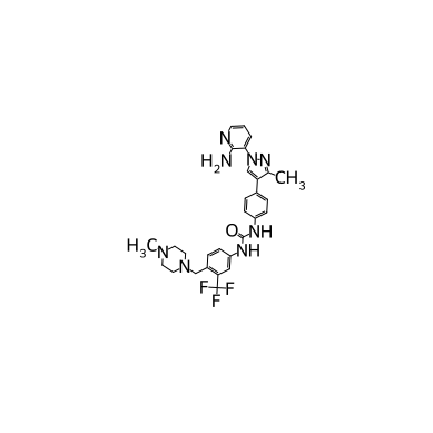 Cc1nn(-c2cccnc2N)cc1-c1ccc(NC(=O)Nc2ccc(CN3CCN(C)CC3)c(C(F)(F)F)c2)cc1